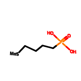 CSCCCCP(=O)(O)O